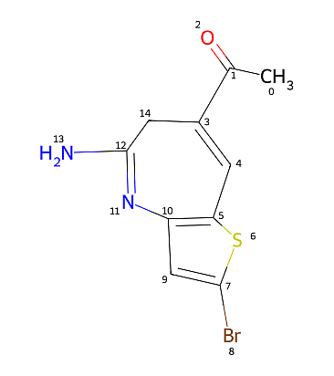 CC(=O)C1=Cc2sc(Br)cc2N=C(N)C1